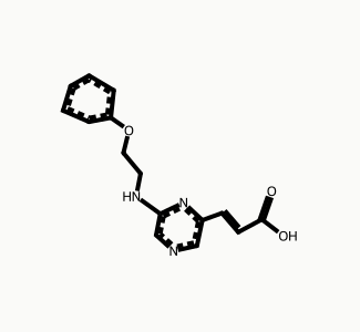 O=C(O)/C=C/c1cncc(NCCOc2ccccc2)n1